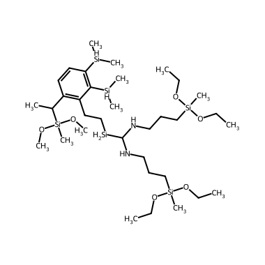 CCO[Si](C)(CCCNC(NCCC[Si](C)(OCC)OCC)[SiH2]CCc1c(C(C)[Si](C)(OC)OC)ccc([SiH](C)C)c1[SiH](C)C)OCC